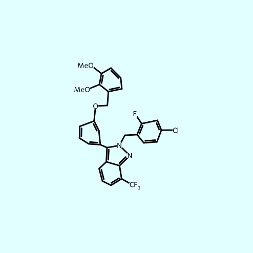 COc1cccc(COc2cccc(-c3c4cccc(C(F)(F)F)c4nn3Cc3ccc(Cl)cc3F)c2)c1OC